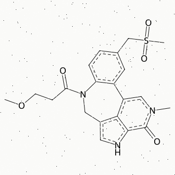 COCCC(=O)N1Cc2c[nH]c3c(=O)n(C)cc(c23)-c2cc(CS(C)(=O)=O)ccc21